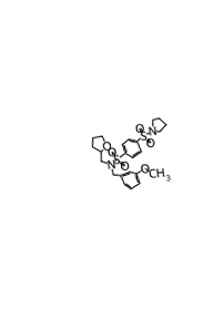 COc1cccc(CN(CC2CCCO2)S(=O)(=O)c2ccc(S(=O)(=O)N3CCCC3)cc2)c1